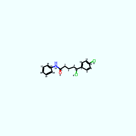 O=C(CCCC(Cl)c1ccc(Cl)cc1)Nc1ccccc1